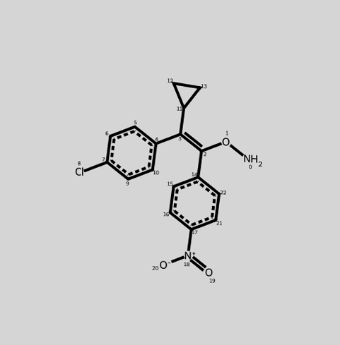 NO/C(=C(/c1ccc(Cl)cc1)C1CC1)c1ccc([N+](=O)[O-])cc1